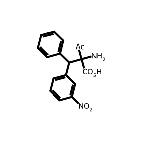 CC(=O)C(N)(C(=O)O)C(c1ccccc1)c1cccc([N+](=O)[O-])c1